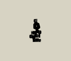 CNC(=O)NNC(=O)c1ccc(Cl)cc1